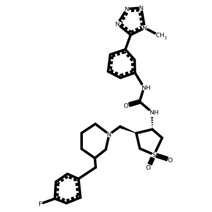 Cn1nnnc1-c1cccc(NC(=O)N[C@@H]2CS(=O)(=O)C[C@H]2CN2CCCC(Cc3ccc(F)cc3)C2)c1